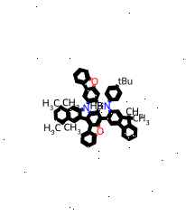 CC(C)(C)c1ccc(Nc2cc3c(cc2-c2c4c5c(c6cc7c(cc6n5-c5cc6c(cc5B4)oc4ccccc46)C(C)(C)CCC7(C)C)c4c2oc2ccccc24)-c2ccccc2C3(C)C)cc1